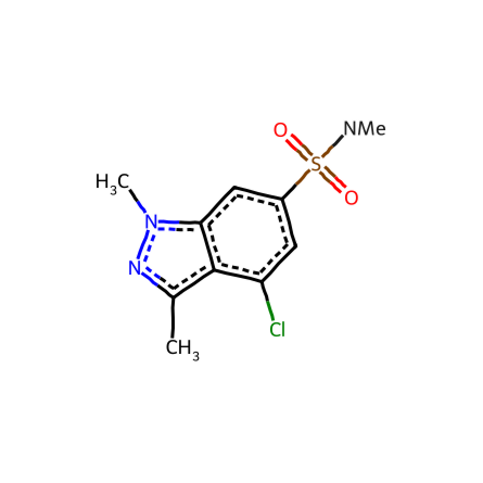 CNS(=O)(=O)c1cc(Cl)c2c(C)nn(C)c2c1